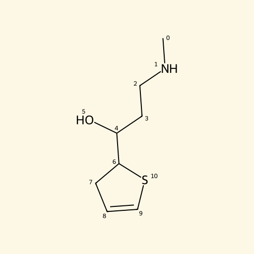 CNCCC(O)C1CC=CS1